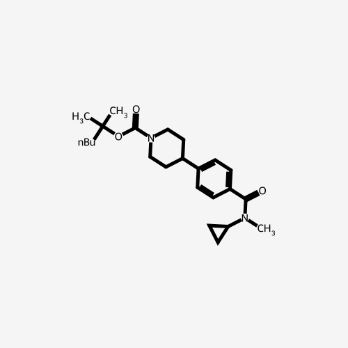 CCCCC(C)(C)OC(=O)N1CCC(c2ccc(C(=O)N(C)C3CC3)cc2)CC1